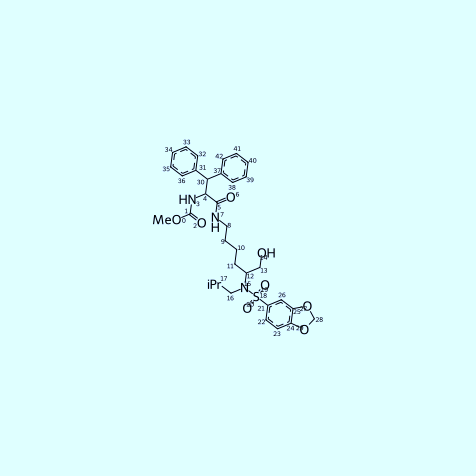 COC(=O)NC(C(=O)NCCCCC(CO)N(CC(C)C)S(=O)(=O)c1ccc2c(c1)OCO2)C(c1ccccc1)c1ccccc1